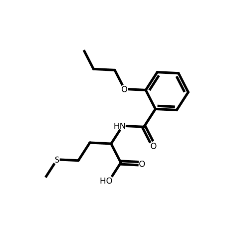 CCCOc1ccccc1C(=O)NC(CCSC)C(=O)O